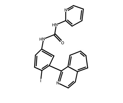 O=C(Nc1ccc(I)c(-c2nccc3ccccc23)c1)Nc1ccccn1